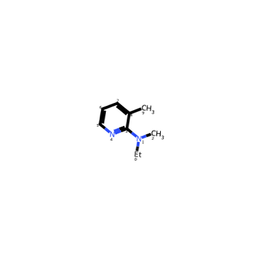 CCN(C)c1ncccc1C